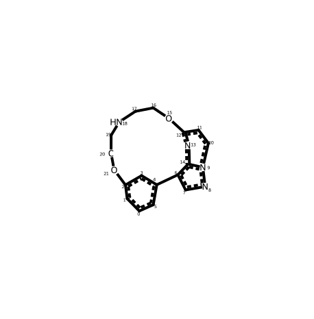 c1cc2cc(c1)-c1cnn3ccc(nc13)OCCNCCO2